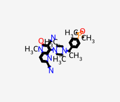 CC(c1ccc(P(C)(C)=O)cc1)N1C[C@H](C)N(c2c(C#N)c(=O)n(C)c3ccc(C#N)nc23)C[C@H]1C